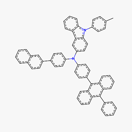 Cc1ccc(-n2c3ccccc3c3cc(N(c4ccc(-c5ccc6ccccc6c5)cc4)c4ccc(-c5c6ccccc6c(-c6ccccc6)c6ccccc56)cc4)ccc32)cc1